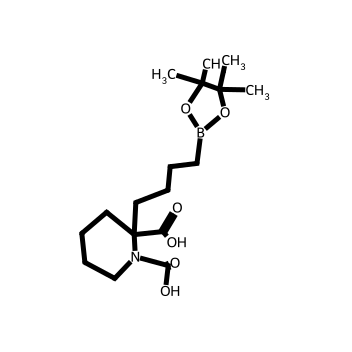 CC1(C)OB(CCCCC2(C(=O)O)CCCCN2C(=O)O)OC1(C)C